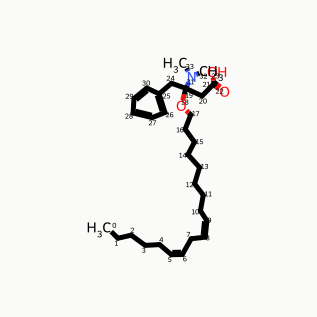 CCCCC/C=C\C/C=C\CCCCCCCCOC(CC(=O)O)(Cc1ccccc1)N(C)C